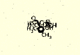 Cc1cc(C)c(C(C)(C)CC(=O)S)c(OP(=O)(O)O)c1